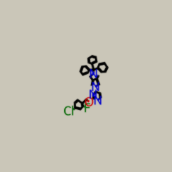 Fc1cc(Cl)ccc1COc1nccc(-n2cc3c(c2)CN(C(c2ccccc2)(c2ccccc2)c2ccccc2)C3)n1